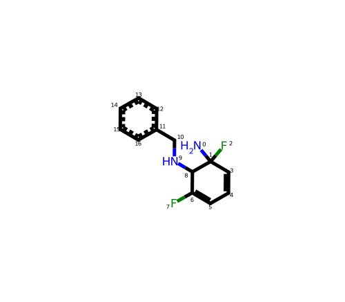 NC1(F)C=CC=C(F)C1NCc1ccccc1